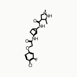 CC1NN(C)CC1C(=O)NC1CC2(NC(=O)COc3ccc(Cl)c(F)c3)CC1C2